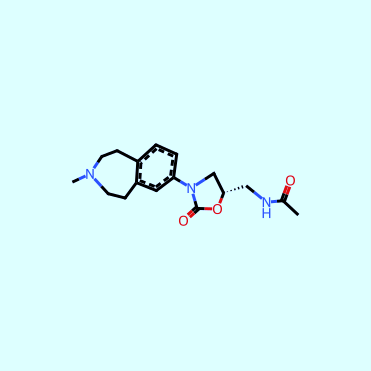 CC(=O)NC[C@H]1CN(c2ccc3c(c2)CCN(C)CC3)C(=O)O1